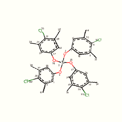 Cc1cc([O][Ti]([O]c2cc(C)c(Cl)c(C)c2)([O]c2cc(C)c(Cl)c(C)c2)[O]c2cc(C)c(Cl)c(C)c2)cc(C)c1Cl